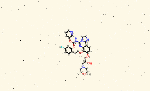 C[C@@H]1CN(C[C@@H](O)COc2ccc3c(c2OCCc2ccc(F)cc2)N=C(NC(=O)Oc2cccnc2)N2CCN=C32)C[C@H](C)O1